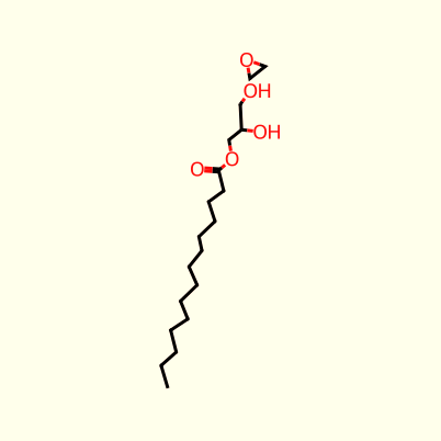 C1CO1.CCCCCCCCCCCCCC(=O)OCC(O)CO